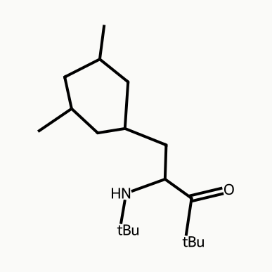 CC1CC(C)CC(CC(NC(C)(C)C)C(=O)C(C)(C)C)C1